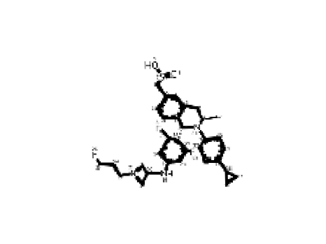 C[C@@H]1Cc2cc(CS(=O)O)ccc2[C@@H](c2c(F)cc(NC3CN(CCCF)C3)cc2F)N1c1ccc(C2CC2)cc1